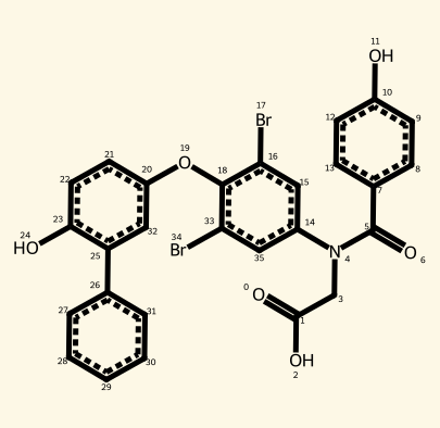 O=C(O)CN(C(=O)c1ccc(O)cc1)c1cc(Br)c(Oc2ccc(O)c(-c3ccccc3)c2)c(Br)c1